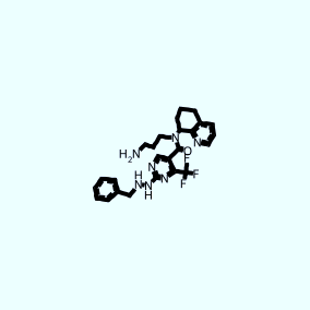 NCCCN(C(=O)c1cnc(NNCc2ccccc2)nc1C(F)(F)F)C1CCCc2cccnc21